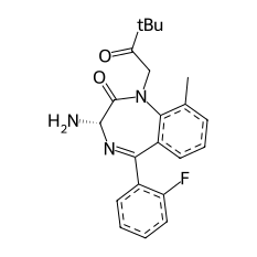 Cc1cccc2c1N(CC(=O)C(C)(C)C)C(=O)[C@@H](N)N=C2c1ccccc1F